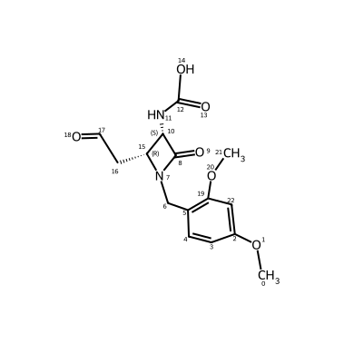 COc1ccc(CN2C(=O)[C@@H](NC(=O)O)[C@H]2CC=O)c(OC)c1